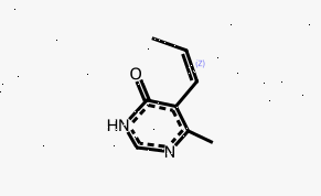 C/C=C\c1c(C)nc[nH]c1=O